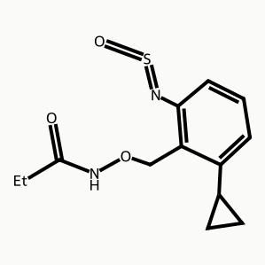 CCC(=O)NOCc1c(N=S=O)cccc1C1CC1